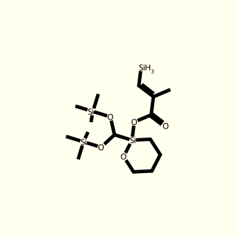 CC(=C[SiH3])C(=O)O[Si]1(C(O[Si](C)(C)C)O[Si](C)(C)C)CCCCO1